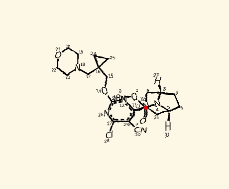 CC(C)(C)OC(=O)N1[C@@H]2CC[C@H]1CN(c1nc(OCC3(CN4CCOCC4)CC3)nc(Cl)c1C#N)C2